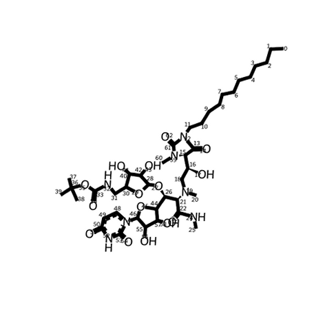 CCCCCCCCCCCCN1C(=O)[C@H]([C@@H](O)CN(C)[C@H](C(=O)NC)[C@H](OC2OC(CNC(=O)OC(C)(C)C)C(O)C2O)C2OC(n3ccc(=O)[nH]c3=O)C(O)C2O)N(C)C1=O